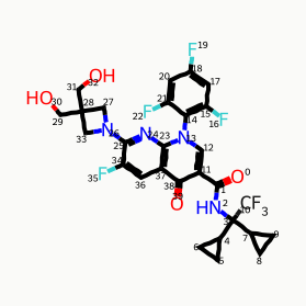 O=C(NC(C1CC1)(C1CC1)C(F)(F)F)c1cn(-c2c(F)cc(F)cc2F)c2nc(N3CC(CO)(CO)C3)c(F)cc2c1=O